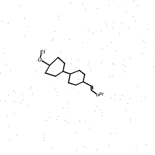 CCCC=CC1CCC(C2CCC(OCC)CC2)CC1